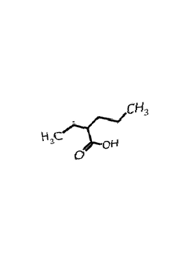 C[CH]C(CCC)C(=O)O